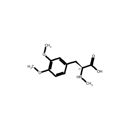 CN[C@@H](Cc1ccc(OC)c(OC)c1)C(=O)O